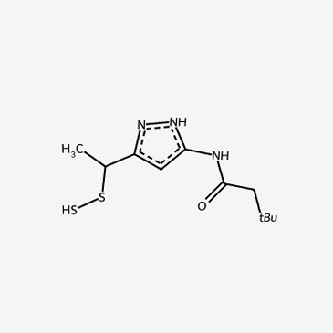 CC(SS)c1cc(NC(=O)CC(C)(C)C)[nH]n1